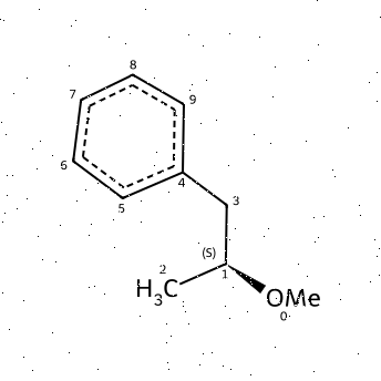 CO[C@@H](C)Cc1ccccc1